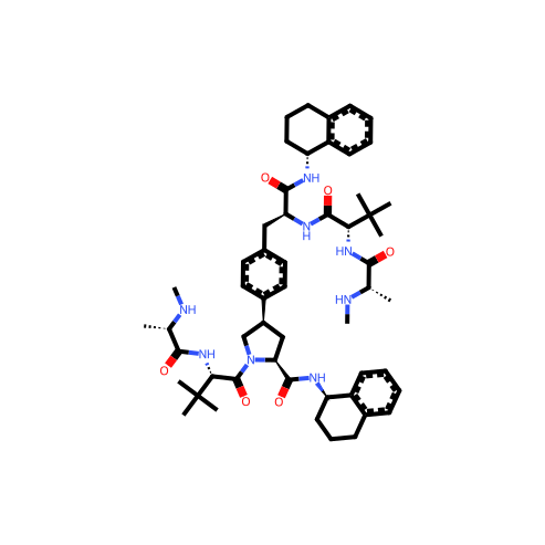 CN[C@@H](C)C(=O)N[C@H](C(=O)N[C@@H](Cc1ccc([C@H]2C[C@@H](C(=O)N[C@@H]3CCCc4ccccc43)N(C(=O)[C@@H](NC(=O)[C@H](C)NC)C(C)(C)C)C2)cc1)C(=O)N[C@@H]1CCCc2ccccc21)C(C)(C)C